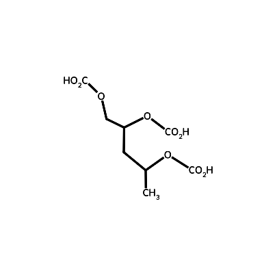 CC(CC(COC(=O)O)OC(=O)O)OC(=O)O